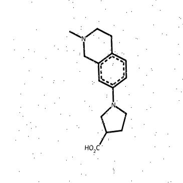 CN1CCc2ccc(N3CCC(C(=O)O)C3)cc2C1